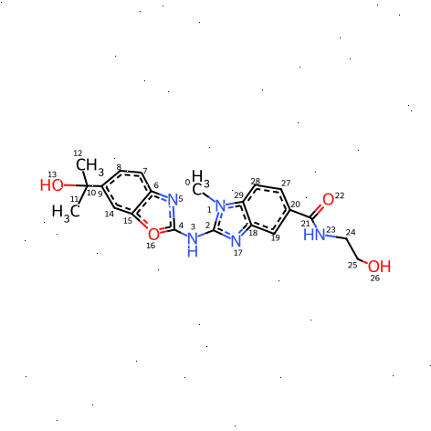 Cn1c(Nc2nc3ccc(C(C)(C)O)cc3o2)nc2cc(C(=O)NCCO)ccc21